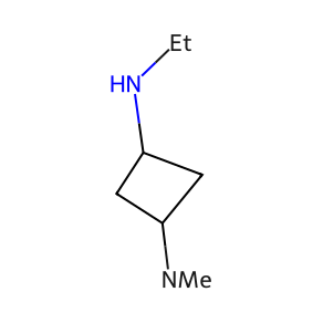 CCNC1CC(NC)C1